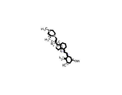 C=C1/C(=C\C=C2/CCC[C@]3(C)[C@@H]([C@H](C)CN4CCN(C)C[C@H]4C)CC[C@@H]23)C[C@@H](O)C[C@@H]1O